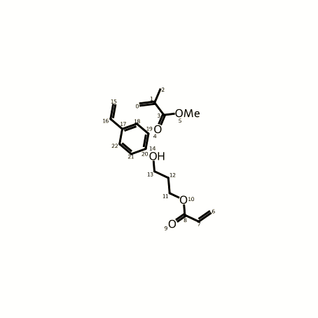 C=C(C)C(=O)OC.C=CC(=O)OCCCO.C=Cc1ccccc1